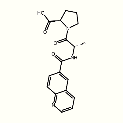 C[C@H](NC(=O)c1ccc2ncccc2c1)C(=O)N1CCC[C@@H]1C(=O)O